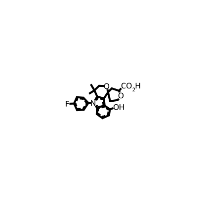 CC1(C)COC2(CCOC(C(=O)O)C2)c2c1n(-c1ccc(F)cc1)c1cccc(O)c21